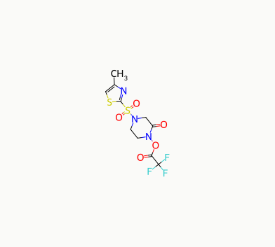 Cc1csc(S(=O)(=O)N2CCN(OC(=O)C(F)(F)F)C(=O)C2)n1